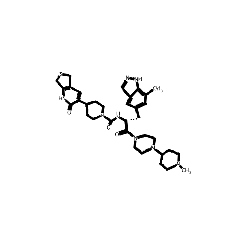 Cc1cc(C[C@@H](NC(=O)N2CCC(c3cc4c([nH]c3=O)CSC4)CC2)C(=O)N2CCN(C3CCN(C)CC3)CC2)cc2cn[nH]c12